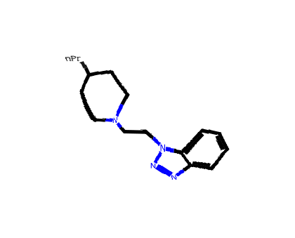 CCCC1CCN(CCn2nnc3ccccc32)CC1